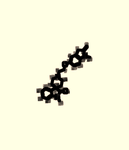 C=C1Cc2cc(OCCN3CCC4(CC3)C(=O)N(C)c3ccccc34)ccc2N1C